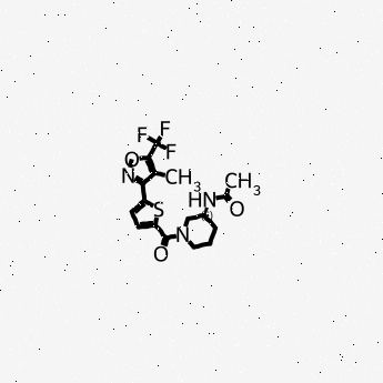 CC(=O)N[C@H]1CCCN(C(=O)c2ccc(-c3noc(C(F)(F)F)c3C)s2)C1